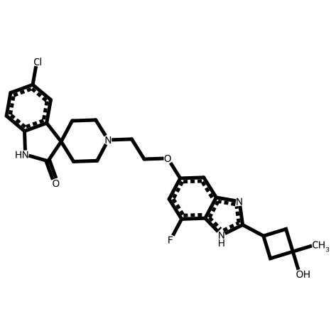 CC1(O)CC(c2nc3cc(OCCN4CCC5(CC4)C(=O)Nc4ccc(Cl)cc45)cc(F)c3[nH]2)C1